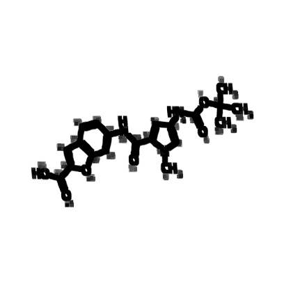 Cn1cc(NC(=O)OC(C)(C)C)cc1C(=O)Nc1ccc2cc(C(=O)O)oc2c1